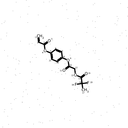 C=CC(=O)Oc1ccc(OC(=O)COC(=O)C(C)(F)F)cc1